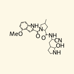 COc1cccc2[nH]c(C(=O)N3CC(C)CC3C(=O)NC(C#N)CC3CCNC3O)cc12